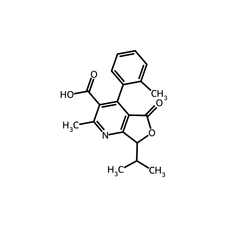 Cc1ccccc1-c1c(C(=O)O)c(C)nc2c1C(=O)OC2C(C)C